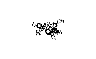 CNC(=O)[C@@H]1C[C@@H](O)C[N+]1(C)C1(c2ccc(C)cc2OC)C(=O)N(S(=O)(=O)c2ccc(OC)cc2OC(F)(F)F)c2ccc(Cl)cc21